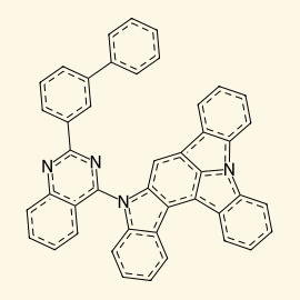 c1ccc(-c2cccc(-c3nc(-n4c5ccccc5c5c6c7ccccc7n7c8ccccc8c(cc54)c67)c4ccccc4n3)c2)cc1